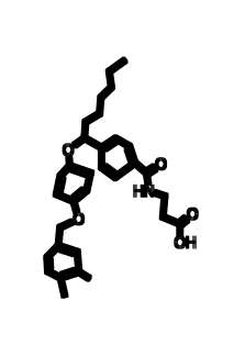 CCCCCCC(Oc1ccc(OCc2ccc(C)c(C)c2)cc1)c1ccc(C(=O)NCCC(=O)O)cc1